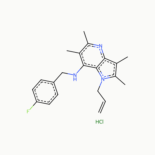 C=CCn1c(C)c(C)c2nc(C)c(C)c(NCc3ccc(F)cc3)c21.Cl